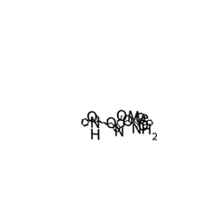 C=C/C(=C\C=C\Oc1ccnc2cc(OCC[C@H](N)C(=O)OC3CCCC3)c(OC)cc12)NC(=O)c1ccccc1